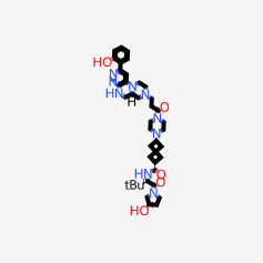 CC(C)(C)[C@H](NC(=O)[C@H]1CC2(C1)C[C@H](N1CCN(C(=O)CCN3CCN4c5cc(-c6ccccc6O)nnc5NC[C@H]4C3)CC1)C2)C(=O)N1CC[C@@H](O)C1